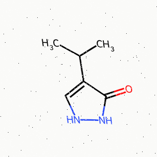 CC(C)c1c[nH][nH]c1=O